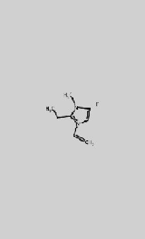 C=C[n+]1ccn(C)c1CC.[I-]